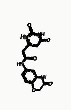 O=C(Cc1cc(=O)[nH]c(=O)[nH]1)Nc1ccc2c(c1)NC(=O)CO2